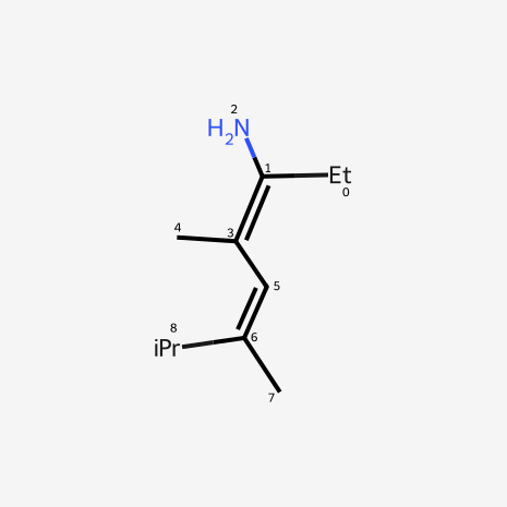 CC/C(N)=C(C)\C=C(\C)C(C)C